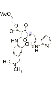 COCCOC(=O)C1=C(Nc2ccc(CN(C)C)cc2C)O/C(=C\c2c[nH]c3ncccc23)C1=O